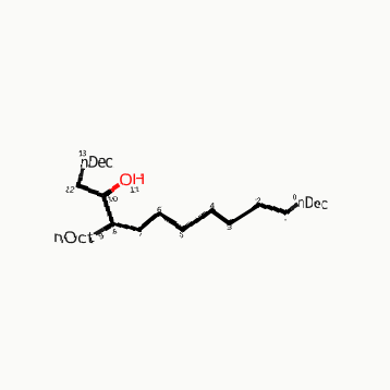 CCCCCCCCCCCCCCCCC[C](CCCCCCCC)C(O)CCCCCCCCCCC